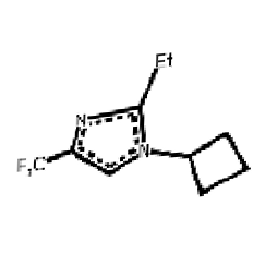 CCc1nc(C(F)(F)F)cn1C1CCC1